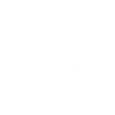 CCOC(=O)C(C#N)C(c1cccc(Br)c1)c1ccccc1C